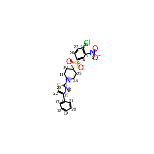 O=[N+]([O-])c1cc(S(=O)(=O)C2CCN(c3nc(-c4ccccc4)cs3)CC2)ccc1Cl